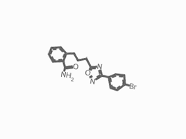 NC(=O)c1ccccc1CC[CH]c1nc(-c2ccc(Br)cc2)no1